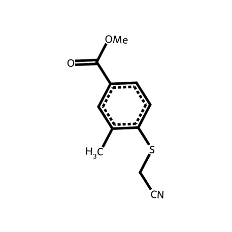 COC(=O)c1ccc(SCC#N)c(C)c1